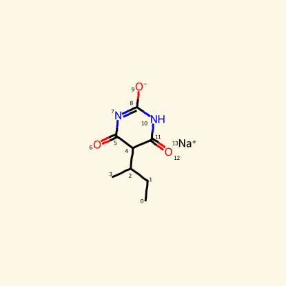 CCC(C)C1C(=O)N=C([O-])NC1=O.[Na+]